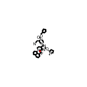 CN1CCC[C@H]1COc1nc2c(c(N3CCN(C(=O)OCc4ccccc4)[C@@H](CC#N)C3)n1)CCN(c1cccc3cccc(C(F)(F)F)c13)C2